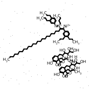 CCCCC1(C(=O)[O-])C(O)=C(O)C=CC1CC(O)C(O)C(O)C(O)CO.CCCCC1(C(=O)[O-])C(O)=C(O)C=CC1CC(O)C(O)C(O)C(O)CO.CCCCCCCCCCCCCCCCCCCCCCCC(=[C]([Ni+2])c1ccc(CCC)c(CCC)c1)[N+](CCCC)=Nc1ccc(CCC)c(CCC)c1